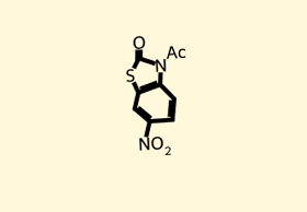 CC(=O)n1c(=O)sc2cc([N+](=O)[O-])ccc21